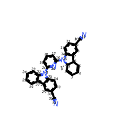 C[C@@]12C=CC=CC1c1cc(C#N)ccc1N2c1cccc(-n2c3ccccc3c3cc(C#N)ccc32)n1